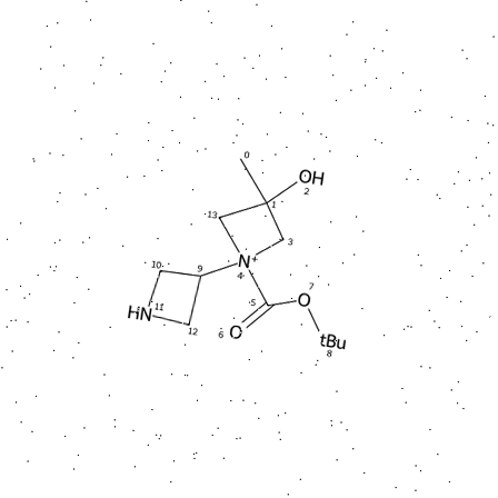 CC1(O)C[N+](C(=O)OC(C)(C)C)(C2CNC2)C1